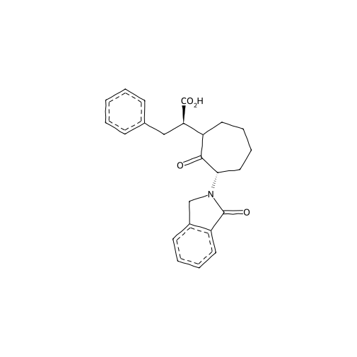 O=C(O)[C@H](Cc1ccccc1)C1CCCC[C@H](N2Cc3ccccc3C2=O)C1=O